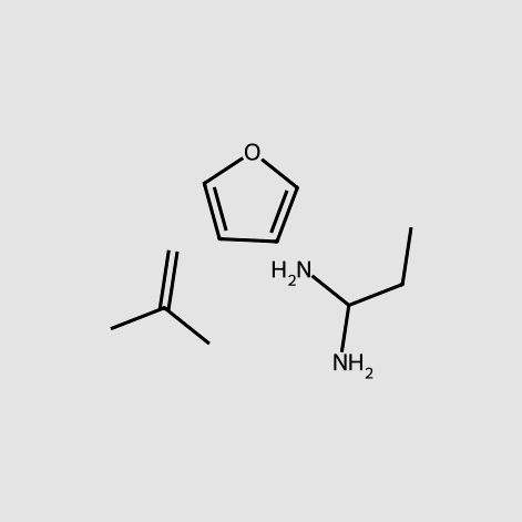 C=C(C)C.CCC(N)N.c1ccoc1